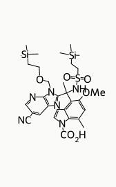 COc1cc(C)c2c(ccn2C(=O)O)c1C(C)(NS(=O)(=O)CC[Si](C)(C)C)c1nc2cc(C#N)cnc2n1COCC[Si](C)(C)C